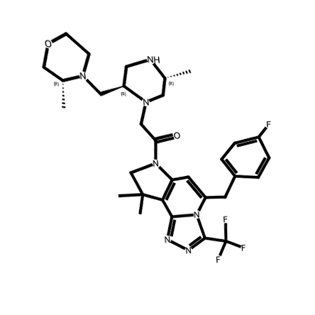 C[C@@H]1CN(CC(=O)N2CC(C)(C)c3c2cc(Cc2ccc(F)cc2)n2c(C(F)(F)F)nnc32)[C@@H](CN2CCOC[C@H]2C)CN1